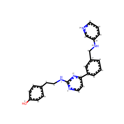 Oc1ccc(CCNc2nccc(-c3cccc(CNc4cccnc4)c3)n2)cc1